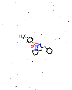 Cc1ccc(S(=O)(=O)NN=C(Cc2ccccc2)Cc2ccccc2)cc1